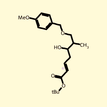 COc1ccc(COCC(C)C(O)C/C=C/C(=O)OC(C)(C)C)cc1